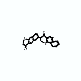 O=C1CCSc2cc3ccc(C4CSc5c(ccc6ccccc56)C4=O)cc3cc21